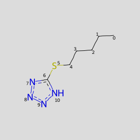 CCCCCSc1nnn[nH]1